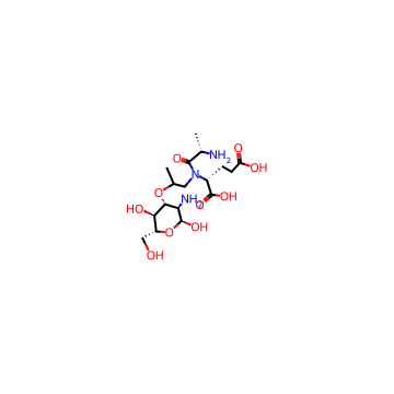 CC(CN(C(=O)[C@H](C)N)[C@H](CCC(=O)O)C(=O)O)O[C@@H]1[C@@H](N)[C@@H](O)O[C@H](CO)[C@H]1O